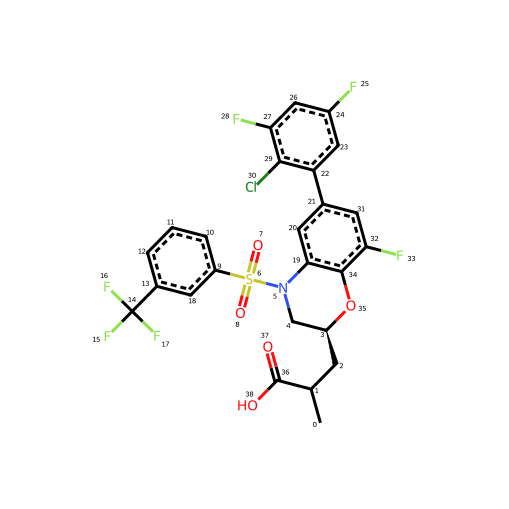 CC(C[C@H]1CN(S(=O)(=O)c2cccc(C(F)(F)F)c2)c2cc(-c3cc(F)cc(F)c3Cl)cc(F)c2O1)C(=O)O